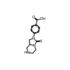 O=C(O)c1ccc(N2CC3CNCCN3C2=S)cc1